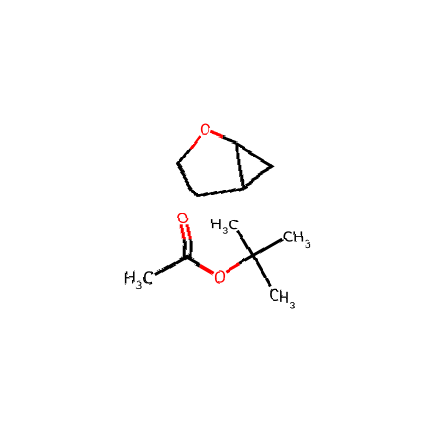 C1CC2CC2O1.CC(=O)OC(C)(C)C